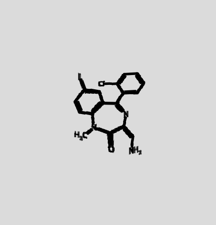 CN1C(=O)C(=CN)N=C(c2ccccc2Cl)c2cc(I)ccc21